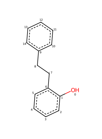 Oc1ccccc1[CH]Cc1ccccc1